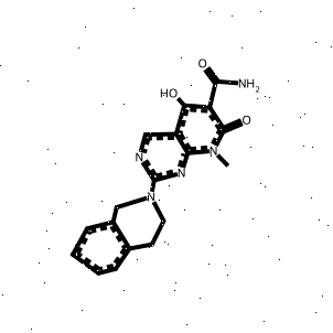 Cn1c(=O)c(C(N)=O)c(O)c2cnc(N3CCc4ccccc4C3)nc21